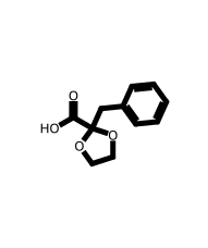 O=C(O)C1(Cc2ccccc2)OCCO1